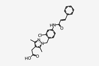 Cc1nn(Cc2ccc(NC(=O)/C=C/c3ccccc3)cc2Cl)c(C)c1CC(=O)O